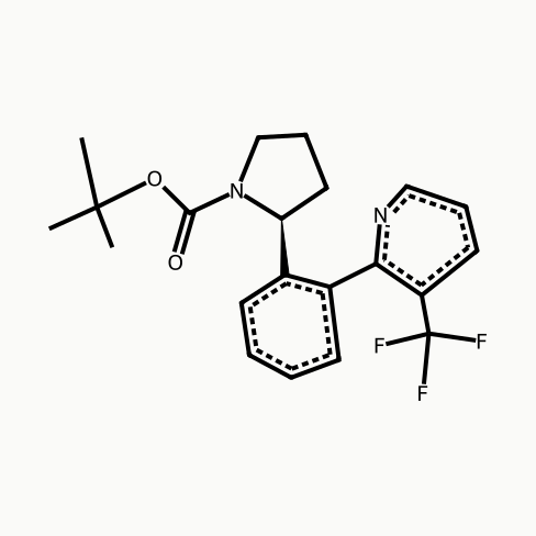 CC(C)(C)OC(=O)N1CCC[C@H]1c1ccccc1-c1ncccc1C(F)(F)F